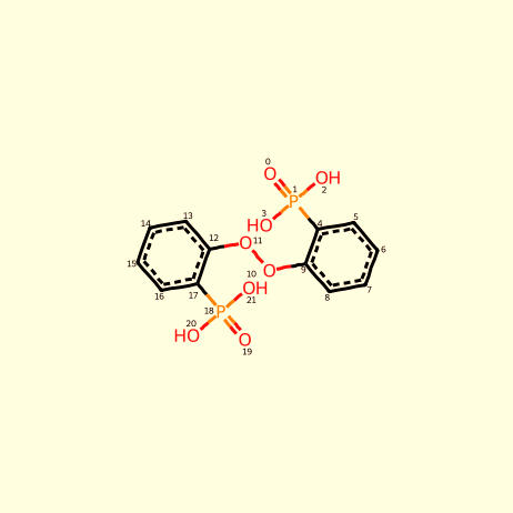 O=P(O)(O)c1ccccc1OOc1ccccc1P(=O)(O)O